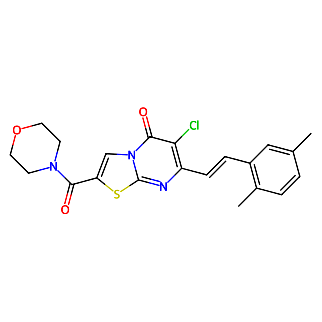 Cc1ccc(C)c(/C=C/c2nc3sc(C(=O)N4CCOCC4)cn3c(=O)c2Cl)c1